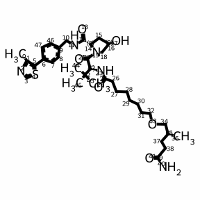 Cc1ncsc1-c1ccc(CNC(=O)[C@@H]2C[C@@H](O)CN2C(=O)[C@@H](NC(=O)CCCCCCCOC[C@@H](C)CCC(N)=O)C(C)(C)C)cc1